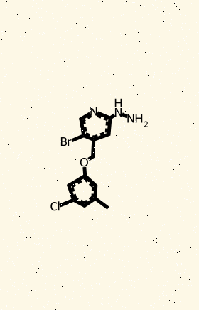 Cc1cc(Cl)cc(OCc2cc(NN)ncc2Br)c1